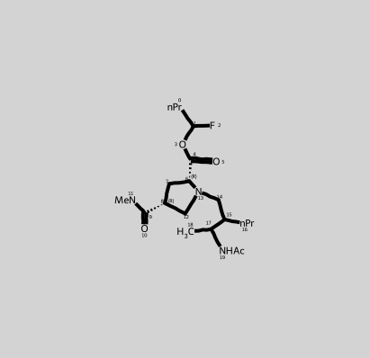 CCCC(F)OC(=O)[C@H]1C[C@@H](C(=O)NC)CN1CC(CCC)C(C)NC(C)=O